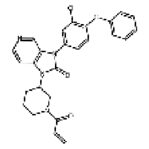 C=CC(=O)N1CCCC(n2c(=O)n(-c3ccc(Oc4ccccc4)c(Cl)c3)c3cnccc32)C1